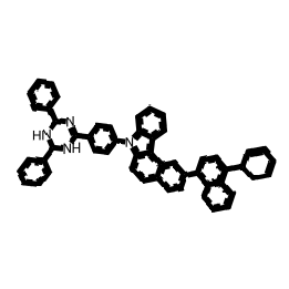 C1=CCC(c2ccc(-c3ccc4ccc5c(c4c3)c3ccccc3n5-c3ccc(C4=NC(c5ccccc5)NC(c5ccccc5)N4)cc3)c3ccccc23)C=C1